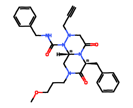 C#CCN1CC(=O)N2[C@@H](Cc3ccccc3)C(=O)N(CCCOC)C[C@@H]2N1C(=O)NCc1ccccc1